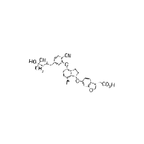 CC(C)(O)CCCc1ccc(C#N)c(Oc2ccc(F)c3c2CC[C@H]3Oc2ccc3c(c2)OC[C@H]3CC(=O)O)c1